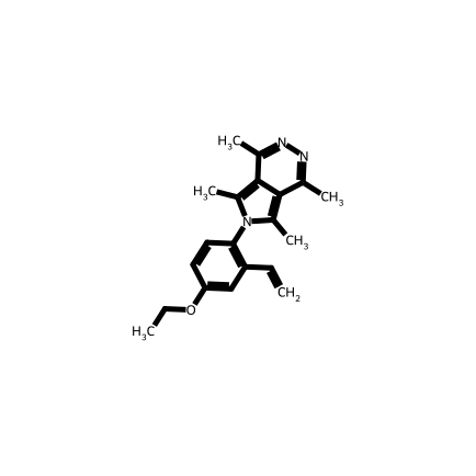 C=Cc1cc(OCC)ccc1-n1c(C)c2c(C)nnc(C)c2c1C